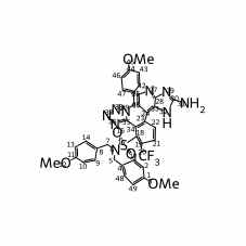 COc1ccc(CN(Cc2ccc(OC)cc2)S(=O)(=O)c2c(C(F)(F)F)ccc(-c3ccnc4nc(N)[nH]c34)c2-c2nnnn2Cc2ccc(OC)cc2)cc1